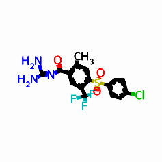 Cc1cc(S(=O)(=O)c2ccc(Cl)cc2)c(C(F)(F)F)cc1C(=O)N=C(N)N